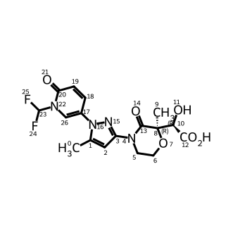 Cc1cc(N2CCO[C@](C)([C@@H](O)C(=O)O)C2=O)nn1-c1ccc(=O)n(C(F)F)c1